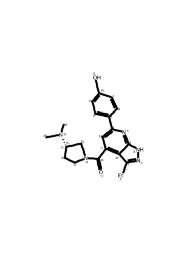 CCc1n[nH]c2nc(-c3ccc(O)cc3)cc(C(=O)N3CC[C@H](N(C)C)C3)c12